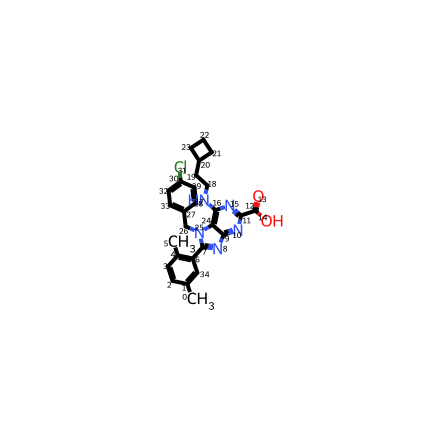 Cc1ccc(C)c(-c2nc3nc(C(=O)O)nc(NCCC4CCC4)c3n2Cc2ccc(Cl)cc2)c1